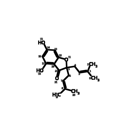 CC(C)=CCC1(CC=C(C)C)Oc2cc(O)cc(O)c2C1=O